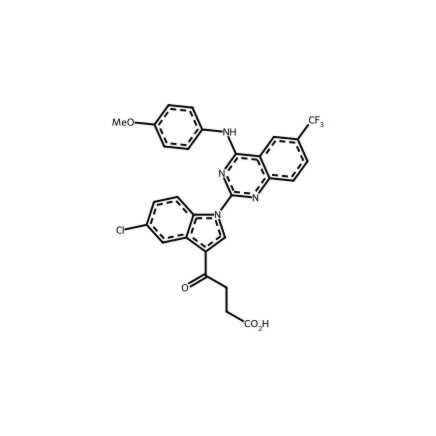 COc1ccc(Nc2nc(-n3cc(C(=O)CCC(=O)O)c4cc(Cl)ccc43)nc3ccc(C(F)(F)F)cc23)cc1